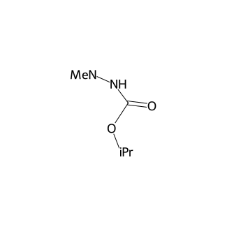 CNNC(=O)OC(C)C